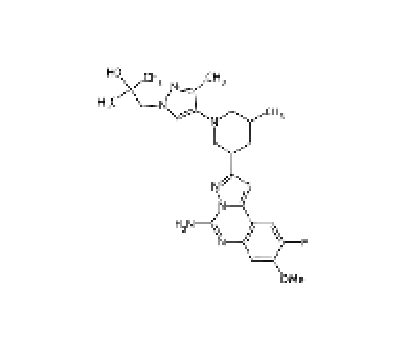 COc1cc2nc(N)n3nc(C4CC(C)CN(c5cn(CC(C)(C)O)nc5C)C4)nc3c2cc1F